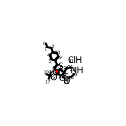 CCCc1ccc(-c2ccc(C3(CC(=O)OC(C)(C)C)CCNCCS3(=O)=O)s2)cc1.Cl